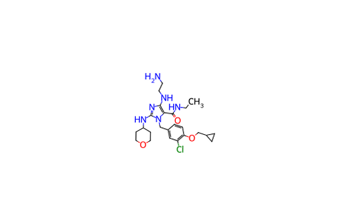 CCNC(=O)c1c(NCCN)nc(NC2CCOCC2)n1Cc1ccc(OCC2CC2)c(Cl)c1